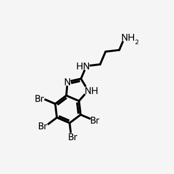 NCCCNc1nc2c(Br)c(Br)c(Br)c(Br)c2[nH]1